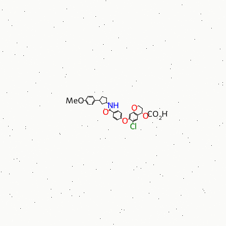 COc1ccc(C2CCC(NC(=O)c3ccc(Oc4cc5c(cc4Cl)C(OC(=O)O)CCO5)cc3)C2)cc1